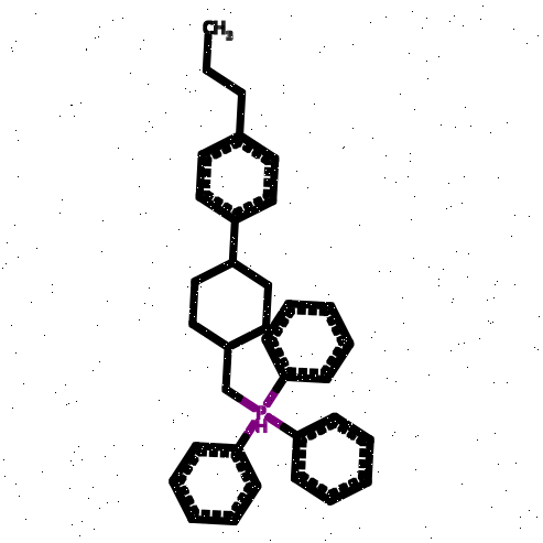 CCCc1ccc(C2CCC(C[PH](c3ccccc3)(c3ccccc3)c3ccccc3)CC2)cc1